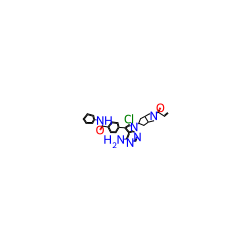 C=CC(=O)N1CC2CC(n3c(Cl)c(-c4ccc(C(=O)Nc5ccccc5)cc4)c4c(N)ncnc43)CC2C1